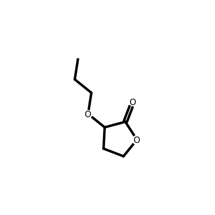 CCCOC1CCOC1=O